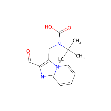 CC(C)(C)N(Cc1c(C=O)nc2ccccn12)C(=O)O